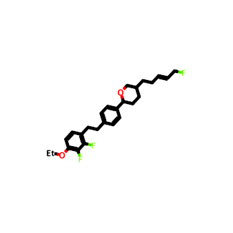 CCOc1ccc(CCc2ccc(C3CCC(CC/C=C/CF)CO3)cc2)c(F)c1F